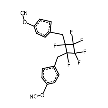 N#COc1ccc(CC2(F)C(F)(F)C(F)(F)C2(F)Cc2ccc(OC#N)cc2)cc1